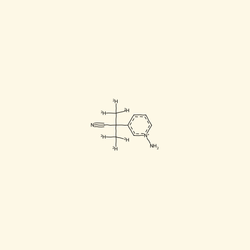 [2H]C([2H])([2H])C(C#N)(c1ccc[n+](N)c1)C([2H])([2H])[2H]